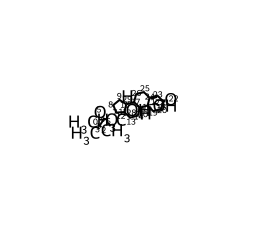 CC(C)(C)C(=O)O[C@H]1CC[C@@H]2[C@]1(C)CC[C@@H]1[C@@]3(CO)CCC(=O)C=C3CC[C@@]12O